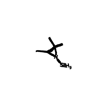 CC1N([SiH3])C1(C)C